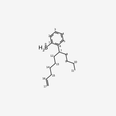 Bc1ccccc1C(CCCC)CCCCC=C